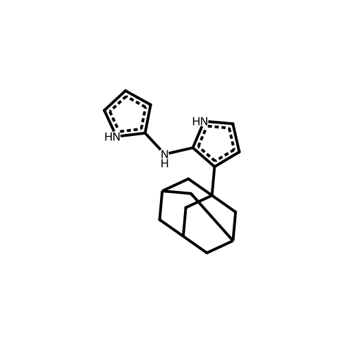 c1c[nH]c(Nc2[nH]ccc2C23CC4CC(CC(C4)C2)C3)c1